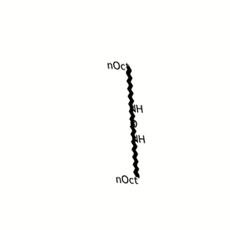 CCCCCCCCC=CCCCCCCCCNCCCOCCCNCCCCCCCCC=CCCCCCCCC